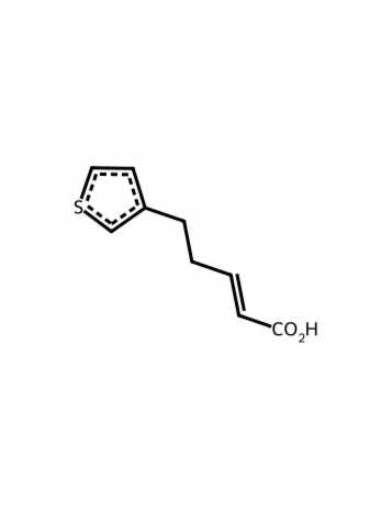 O=C(O)C=CCCc1ccsc1